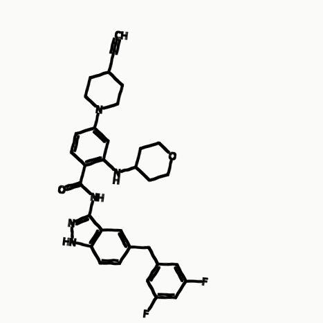 C#CC1CCN(c2ccc(C(=O)Nc3n[nH]c4ccc(Cc5cc(F)cc(F)c5)cc34)c(NC3CCOCC3)c2)CC1